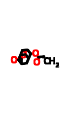 C=CC(=O)OC1C2CC3CC(C2)C(=O)OC1C3